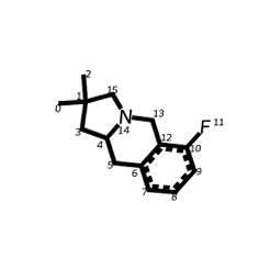 CC1(C)CC2Cc3cccc(F)c3CN2C1